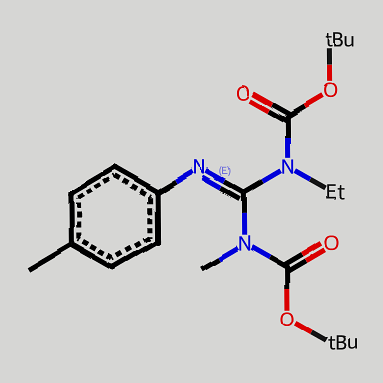 CCN(C(=O)OC(C)(C)C)/C(=N/c1ccc(C)cc1)N(C)C(=O)OC(C)(C)C